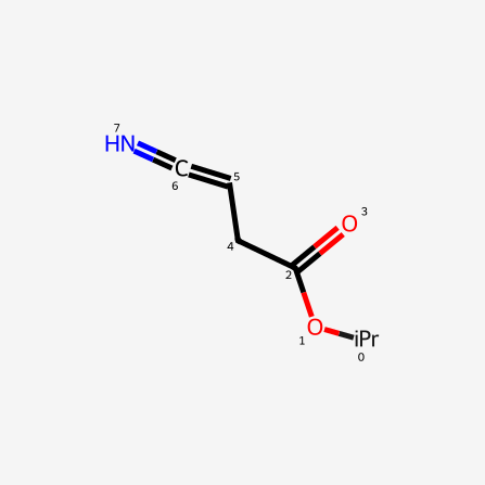 CC(C)OC(=O)CC=C=N